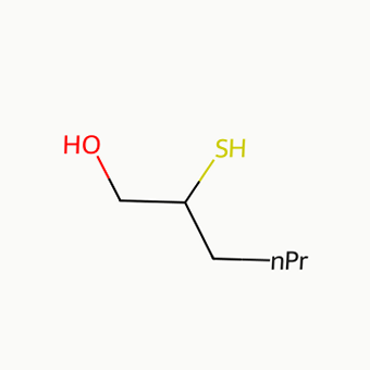 CCCCC(S)CO